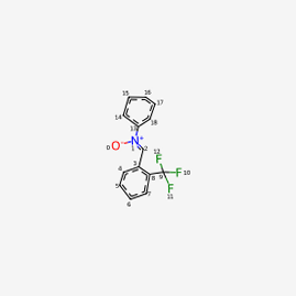 [O-][N+](=Cc1ccccc1C(F)(F)F)c1ccccc1